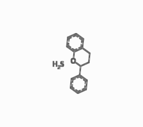 S.c1ccc(C2CCc3ccccc3O2)cc1